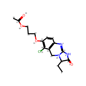 CCC1C(=O)NC2=Nc3ccc(OCCCOC(C)=O)c(Cl)c3CN21